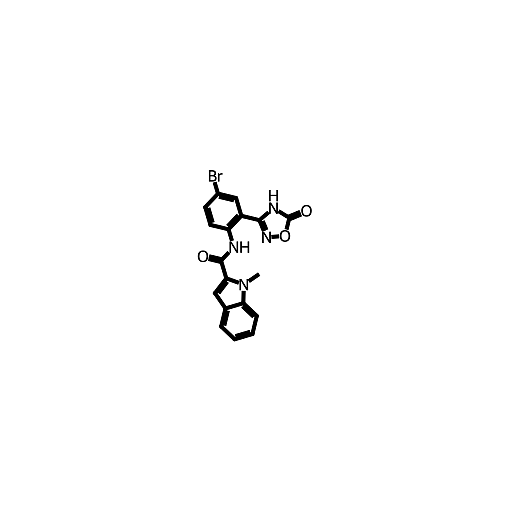 Cn1c(C(=O)Nc2ccc(Br)cc2-c2noc(=O)[nH]2)cc2ccccc21